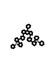 c1ccc(-c2c3cccc(-c4cccc(-c5cccc6c5c5ccccc5n6-c5ccccc5)c4)c3cc3c(-c4cccc(-c5cccc6c5c5ccccc5n6-c5ccccc5)c4)cccc23)cc1